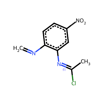 C=Nc1ccc([N+](=O)[O-])cc1/N=C(\C)Cl